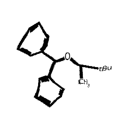 CC(OC(c1ccccc1)c1ccccc1)C(C)(C)C